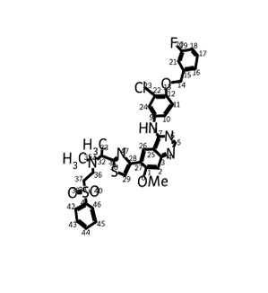 COc1cc2ncnc(Nc3ccc(OCc4cccc(F)c4)c(Cl)c3)c2cc1-c1csc(C(C)N(C)CCS(=O)(=O)c2ccccc2)n1